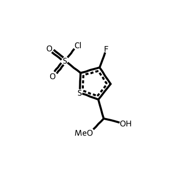 COC(O)c1cc(F)c(S(=O)(=O)Cl)s1